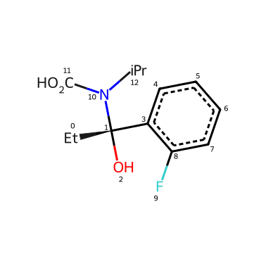 CC[C@](O)(c1ccccc1F)N(C(=O)O)C(C)C